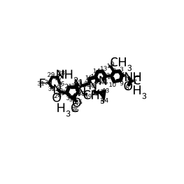 CCc1cc(NC(C)=O)ccc1-c1ccc2cc(-c3nc4cc(C(=O)N5C[C@H](N)C[C@@H](F)C5)cc(OC)c4n3C)n(CC3CC3)c2n1